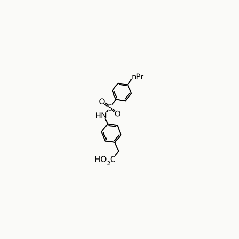 CCCc1ccc(S(=O)(=O)Nc2ccc(CC(=O)O)cc2)cc1